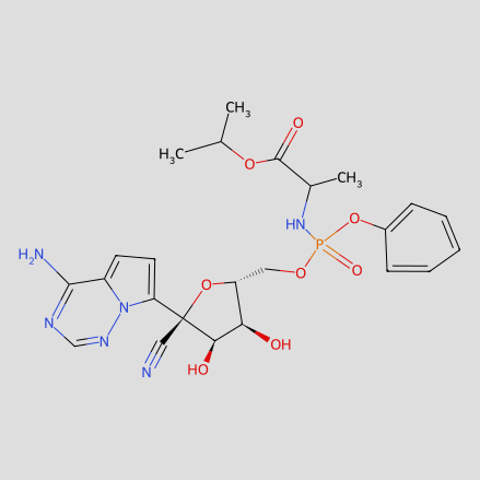 CC(C)OC(=O)C(C)NP(=O)(OC[C@H]1O[C@@](C#N)(c2ccc3c(N)ncnn23)[C@H](O)[C@@H]1O)Oc1ccccc1